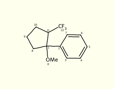 COC1(c2ccccc2)CCCC1C(F)(F)F